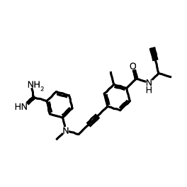 C#CC(C)NC(=O)c1ccc(C#CCN(C)c2cccc(C(=N)N)c2)cc1C